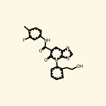 Cc1ccc(NC(=O)c2cc3ncsc3n(-c3ccccc3CCO)c2=O)cc1F